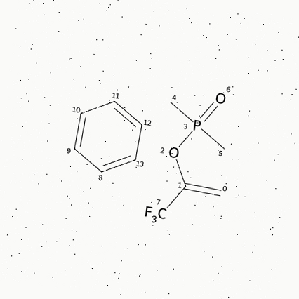 C=C(OP(C)(C)=O)C(F)(F)F.c1ccccc1